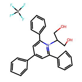 F[B-](F)(F)F.OCC(CO)[n+]1c(-c2ccccc2)cc(-c2ccccc2)cc1-c1ccccc1